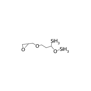 [SiH3]OC([SiH3])CCOCC1CO1